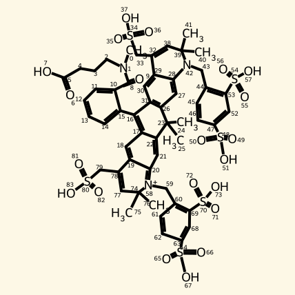 CN(CCCC(=O)O)C(=O)c1ccccc1C1=c2cc3c(cc2C(C)(C)c2cc4c(cc21)C(CS(=O)(=O)O)=CC(C)(C)N4Cc1ccc(S(=O)(=O)O)cc1S(=O)(=O)O)=[N+](Cc1ccc(S(=O)(=O)O)cc1S(=O)(=O)O)C(C)(C)C=C3CS(=O)(=O)O